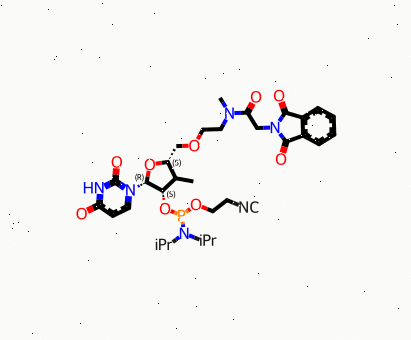 [C-]#[N+]CCOP(O[C@H]1C(C)[C@@H](COCCN(C)C(=O)CN2C(=O)c3ccccc3C2=O)O[C@H]1n1ccc(=O)[nH]c1=O)N(C(C)C)C(C)C